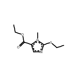 CCOC(=O)c1cnc(SCC)n1C